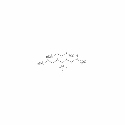 CCCCCCCCCCCCCC(=O)O.CCCCCCCCCCCCCCCCCC(=O)[O-].N.[K+]